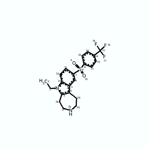 CCn1c2c(c3cc(S(=O)(=O)c4ccc(C(F)(F)F)cc4)ccc31)CCNCC2